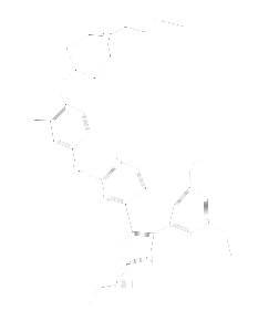 CCNc1nc(-c2cc(OC)cc(OC)c2)c(-c2ccnc(Nc3ccc(OC4CCN(CCOC)CC4)c(F)c3)n2)o1